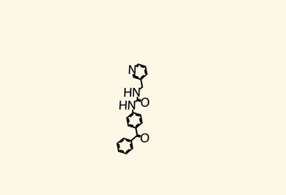 O=C(NCc1cccnc1)Nc1ccc(C(=O)c2ccccc2)cc1